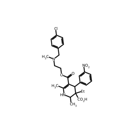 CCC1(C(=O)O)C(C)NC(C)=C(C(=O)OCCN(C)Cc2ccc(Cl)cc2)C1c1cccc([N+](=O)[O-])c1